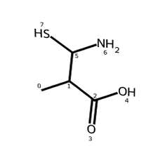 CC(C(=O)O)C(N)S